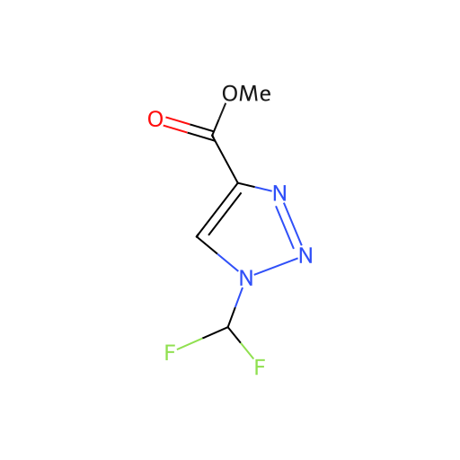 COC(=O)c1cn(C(F)F)nn1